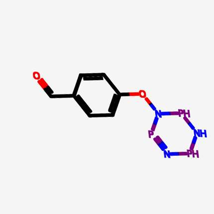 O=Cc1ccc(On2pn[pH][nH][pH]2)cc1